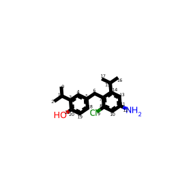 CC(C)c1cc(Cc2c(Cl)cc(N)cc2C(C)C)ccc1O